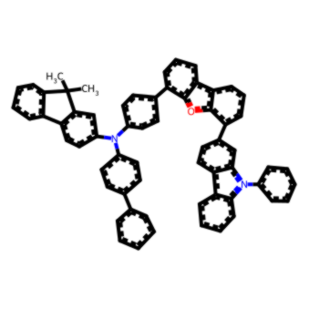 CC1(C)c2ccccc2-c2ccc(N(c3ccc(-c4ccccc4)cc3)c3ccc(-c4cccc5c4oc4c(-c6ccc7c8ccccc8n(-c8ccccc8)c7c6)cccc45)cc3)cc21